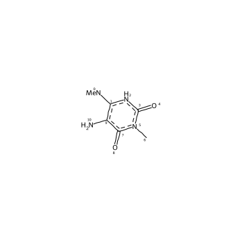 CNc1[nH]c(=O)n(C)c(=O)c1N